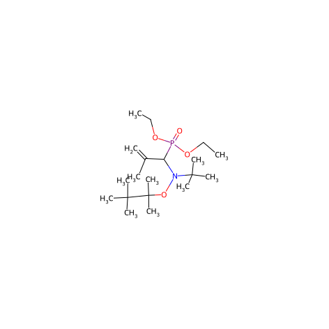 C=C(C)C(N(OC(C)(C)C(C)(C)C)C(C)(C)C)P(=O)(OCC)OCC